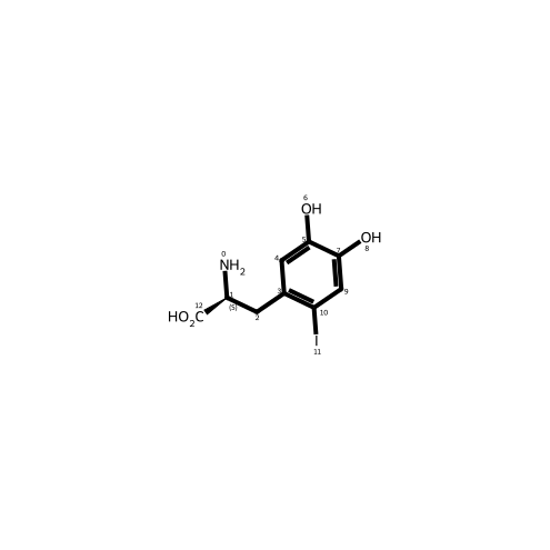 N[C@@H](Cc1cc(O)c(O)cc1I)C(=O)O